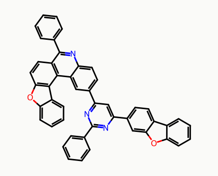 c1ccc(-c2nc(-c3ccc4c(c3)oc3ccccc34)cc(-c3ccc4nc(-c5ccccc5)c5ccc6oc7ccccc7c6c5c4c3)n2)cc1